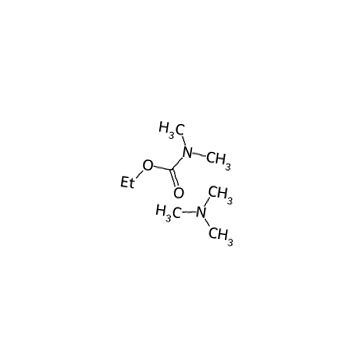 CCOC(=O)N(C)C.CN(C)C